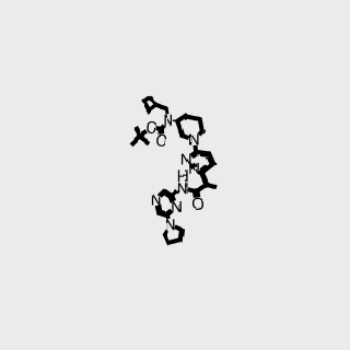 CC(C(=O)Nc1cncc(N2CCCC2)n1)c1ccc(N2CCC[C@@H](N(CC3CCC3)C(=O)OC(C)(C)C)C2)nn1